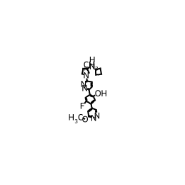 COc1cc(-c2cc(O)c(-c3ccc(N4CC[C@](C)(NC5CCC5)C4)nn3)cc2F)cnn1